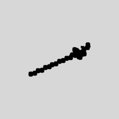 CCc1cc(NC(=O)[C@H](C)NC(=O)[C@@H](NC(=O)[C@H](Cc2ccc(OCCOCCOCCOCCOCCOCCOCCOCCOCCOCCOCCOC)cc2)N2C(=O)C=CC2=O)C(C)C)ccc1COC(C)=O